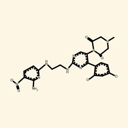 CN1CC(=O)N(c2cnc(NCCNc3ccc([N+](=O)[O-])c(N)n3)nc2-c2ccc(Cl)cc2Cl)C(=O)C1